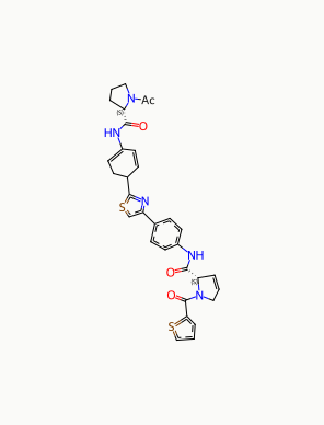 CC(=O)N1CCC[C@H]1C(=O)NC1=CCC(c2nc(-c3ccc(NC(=O)[C@@H]4C=CCN4C(=O)c4cccs4)cc3)cs2)C=C1